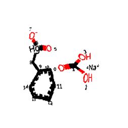 O=C(O)O.[Na+].[O]=[Hg]([O-])[CH2]c1ccccc1